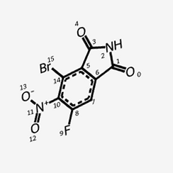 O=C1NC(=O)c2c1cc(F)c([N+](=O)[O-])c2Br